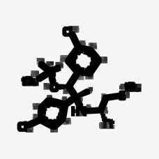 CC[C@@H](CSC(C)(C)C)N[C@](C)(c1ccc(Cl)cc1)[C@@H](O[Si](C)(C)C(C)(C)C)c1cccc(Cl)c1